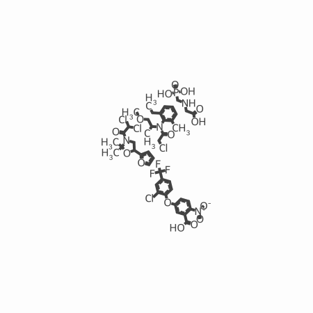 CC1(C)OC(c2ccco2)CN1C(=O)C(Cl)Cl.CCc1cccc(C)c1N(C(=O)CCl)C(C)COC.O=C(O)CNCP(=O)(O)O.O=C(O)c1cc(Oc2ccc(C(F)(F)F)cc2Cl)ccc1[N+](=O)[O-]